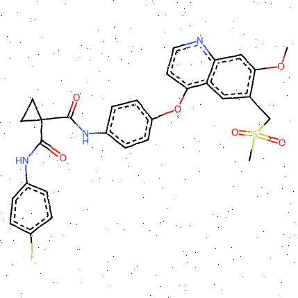 COc1cc2nccc(Oc3ccc(NC(=O)C4(C(=O)Nc5ccc(F)cc5)CC4)cc3)c2cc1CS(C)(=O)=O